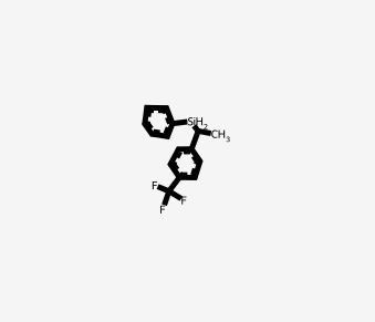 CC([SiH2]c1ccccc1)c1ccc(C(F)(F)F)cc1